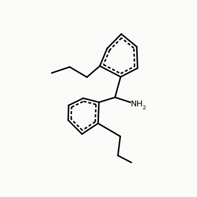 CCCc1ccccc1C(N)c1ccccc1CCC